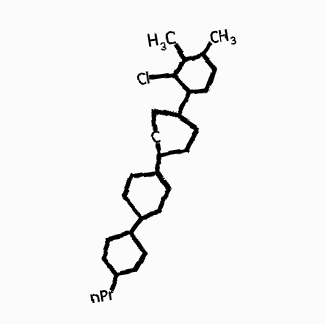 CCCC1CCC(C2CCC(C3CCC(C4CCC(C)C(C)C4Cl)CC3)CC2)CC1